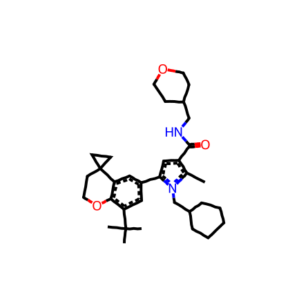 Cc1c(C(=O)NCC2CCOCC2)cc(-c2cc(C(C)(C)C)c3c(c2)C2(CCO3)CC2)n1CC1CCCCC1